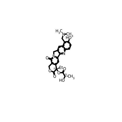 CC[C@@]1(OC(=O)[C@H](C)O)C(=O)OCc2c1cc1n(c2=O)Cc2cc3c(CN(C)C)c(O)ccc3nc2-1